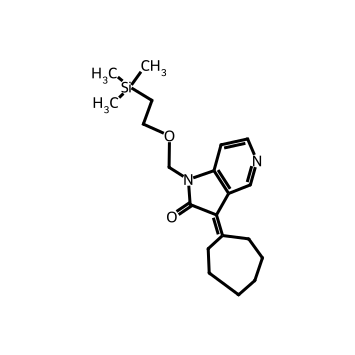 C[Si](C)(C)CCOCN1C(=O)C(=C2CCCCCC2)c2cnccc21